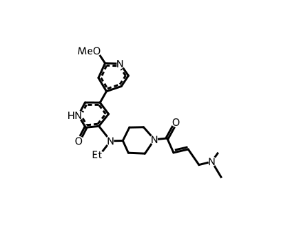 CCN(c1cc(-c2ccnc(OC)c2)c[nH]c1=O)C1CCN(C(=O)C=CCN(C)C)CC1